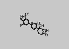 CCn1ncc2c(F)cc(-c3ccc(C4(O)CCC5CC4NC5=O)c(=O)[nH]3)cc21